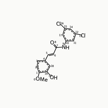 COc1ccc(C=CC(=O)Nc2cc(Cl)cc(Cl)c2)cc1O